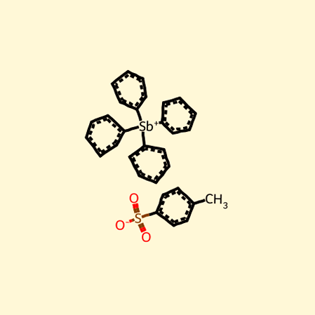 Cc1ccc(S(=O)(=O)[O-])cc1.c1cc[c]([Sb+]([c]2ccccc2)([c]2ccccc2)[c]2ccccc2)cc1